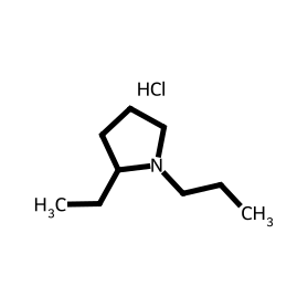 CCCN1CCCC1CC.Cl